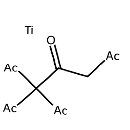 CC(=O)CC(=O)C(C(C)=O)(C(C)=O)C(C)=O.[Ti]